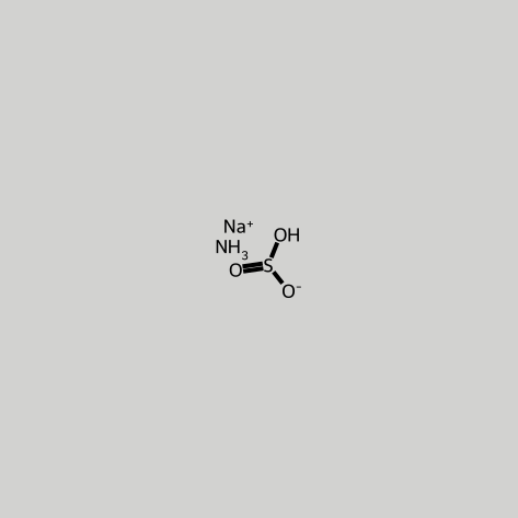 N.O=S([O-])O.[Na+]